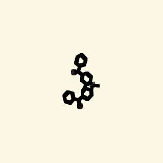 Cn1c2ccc(C(=O)c3ccccc3)cc2c2cc(C(=O)c3ccccc3)ccc21